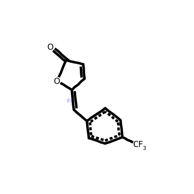 O=C1C=C/C(=C\c2ccc(C(F)(F)F)cc2)O1